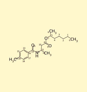 CCCCCC(C)OC(=O)CC(C)NC(=O)c1ccc(C)cc1